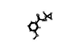 COc1cccc(C(=O)NC2(C)CC2)c1